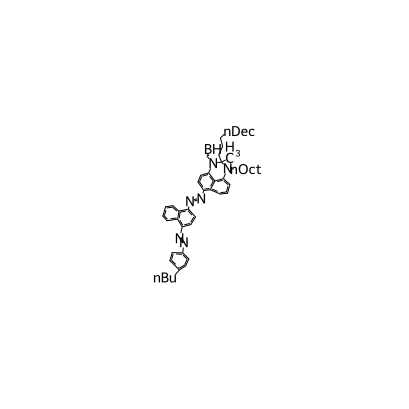 B=CN1c2ccc(/N=N/c3ccc(/N=N/c4ccc(CCCC)cc4)c4ccccc34)c3cccc(c23)N(CCCCCCCC)C1(C)CCCCCCCCCCCCC